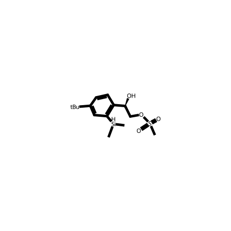 C[SiH](C)c1cc(C(C)(C)C)ccc1[C@@H](O)COS(C)(=O)=O